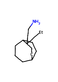 CCC1(CN)CCC2CCCC1CC2